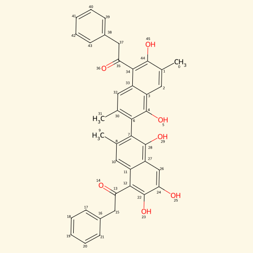 Cc1cc2c(O)c(-c3c(C)cc4c(C(=O)Cc5ccccc5)c(O)c(O)cc4c3O)c(C)cc2c(C(=O)Cc2ccccc2)c1O